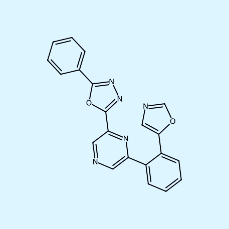 c1ccc(-c2nnc(-c3cncc(-c4ccccc4-c4cnco4)n3)o2)cc1